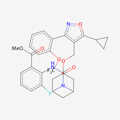 COC(=O)c1cccc(F)c1NC(=O)N1C2CC(OCc3c(-c4ccccc4OC(F)(F)F)noc3C3CC3)CC1C2